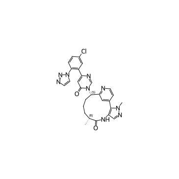 C[C@@H]1CCC[C@H](n2cnc(-c3cc(Cl)ccc3-n3ccnn3)cc2=O)c2cc(ccn2)-c2c(cnn2C)NC1=O